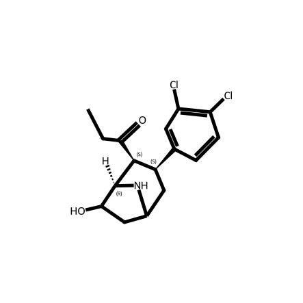 CCC(=O)[C@H]1[C@@H](c2ccc(Cl)c(Cl)c2)CC2CC(O)[C@@H]1N2